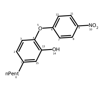 CCCCCc1ccc(Oc2ccc([N+](=O)[O-])cc2)c(O)c1